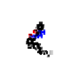 CC1CCC(=O)C(CNNC(=O)Nc2ccccc2)C1C/C=C\CCCC(=O)O